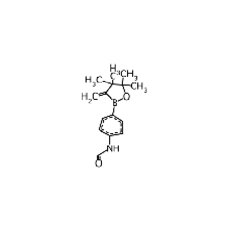 C=C1B(c2ccc(NC=O)cc2)OC(C)(C)C1(C)C